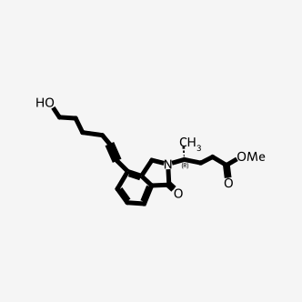 COC(=O)CC[C@@H](C)N1Cc2c(C#CCCCCO)cccc2C1=O